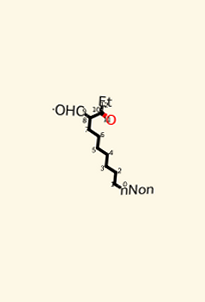 CCCCCCCCCCCCCCCCC([C]=O)C(=O)CC